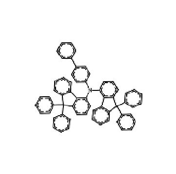 c1ccc(-c2ccc(N(c3cccc4c3-c3ccccc3C4(c3ccccc3)c3ccccc3)c3cccc4c3-c3ccccc3C4(c3ccccc3)c3ccccc3)cc2)cc1